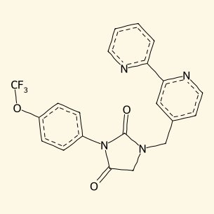 O=C1CN(Cc2ccnc(-c3ccccn3)c2)C(=O)N1c1ccc(OC(F)(F)F)cc1